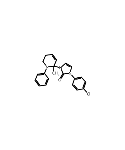 CC1(n2ccn(-c3ccc(Cl)cc3)c2=O)C=CCCN1c1ccccc1